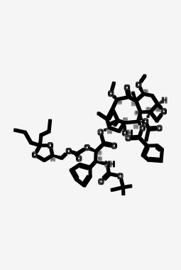 CCCC1(CCC)OC[C@H](COC(=O)O[C@@H](C(=O)O[C@H]2C[C@@]3(O)[C@@H](OC(=O)c4ccccc4)[C@@H]4[C@]5(OC(C)=O)CO[C@@H]5C[C@H](OC)[C@@]4(C)C(=O)[C@H](OC)C(=C2C)C3(C)C)[C@@H](NC(=O)OC(C)(C)C)c2ccccc2)O1